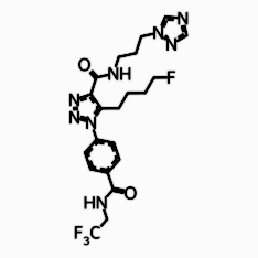 O=C(NCC(F)(F)F)c1ccc(-n2nnc(C(=O)NCCCn3cncn3)c2CCCCF)cc1